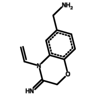 C=CN1C(=N)COc2ccc(CN)cc21